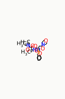 CC[C@H](NC(=O)C(CC(=O)N1CCOCC1)CS(=O)(=O)Cc1ccccc1)C(=O)C(=O)N(CC)CC